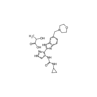 CC(O)C(=O)O.O=C(Nc1c[nH]nc1-c1nc2ccc(CN3CCOCC3)cc2[nH]1)NC1CC1